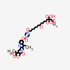 CCCC(CCC/C=C/C(=O)CCCCCCC(=O)N1CCN(C(=O)Oc2ccc3nc4c(c(CC)c3c2)Cn2c-4cc3c(c2=O)COC(=O)[C@]3(O)CC)CC1)(C(=O)O)C(=O)O